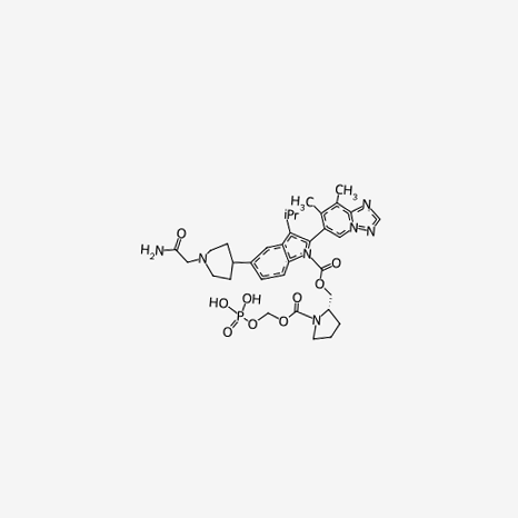 Cc1c(-c2c(C(C)C)c3cc(C4CCN(CC(N)=O)CC4)ccc3n2C(=O)OC[C@@H]2CCCN2C(=O)OCOP(=O)(O)O)cn2ncnc2c1C